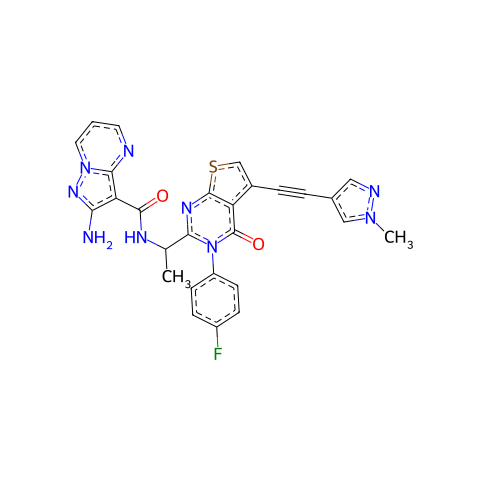 CC(NC(=O)c1c(N)nn2cccnc12)c1nc2scc(C#Cc3cnn(C)c3)c2c(=O)n1-c1ccc(F)cc1